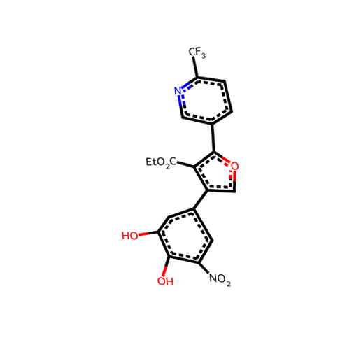 CCOC(=O)c1c(-c2cc(O)c(O)c([N+](=O)[O-])c2)coc1-c1ccc(C(F)(F)F)nc1